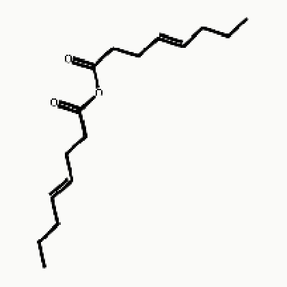 CCCC=CCCC(=O)OC(=O)CCC=CCCC